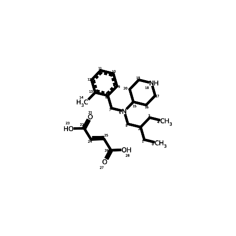 CCC(CC)CN(Cc1ccccc1C)C1CCNCC1.O=C(O)C=CC(=O)O